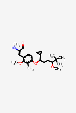 CN/C(C=O)=C/c1ccc(OC(CCC(OC)C(C)(C)C)C2CC2)c(C)c1OC